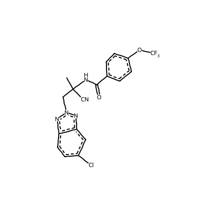 CC(C#N)(Cn1nc2ccc(Cl)cc2n1)NC(=O)c1ccc(OC(F)(F)F)cc1